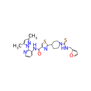 Cc1cc(C)n(-c2ncccc2NC(=O)c2csc(C3CCN(C(=S)NCc4ccco4)CC3)n2)n1